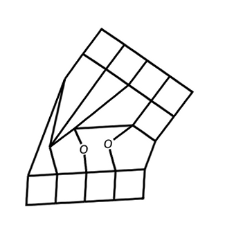 C1C2C3C4CC5C6C7CC8C9C%10CC%11C%12C1C21OC%122C%11%10C9%10C78C67C45C31OC27%10